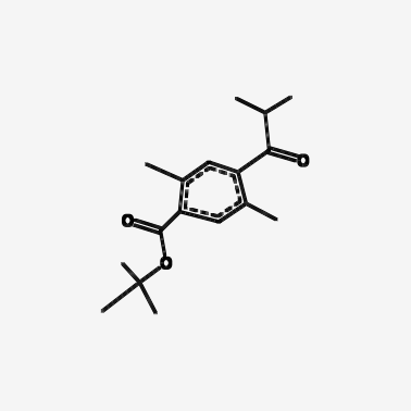 Cc1cc(C(=O)C(C)C)c(C)cc1C(=O)OC(C)(C)C